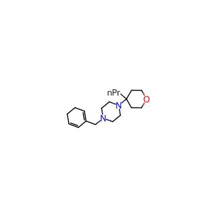 CCCC1(N2CCN(CC3=CCCC=C3)CC2)CCOCC1